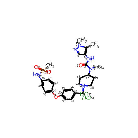 CCCCN(C(=O)Nc1cnn(C)c1C(F)(F)F)C1CCN(Cc2ccc(Oc3ccc(NS(C)(=O)=O)cc3)cc2)CC1.Cl.Cl